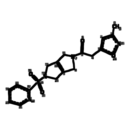 Cc1cc(CC(=O)N2CC3=C(C2)CN(S(=O)(=O)c2ccccn2)C3)on1